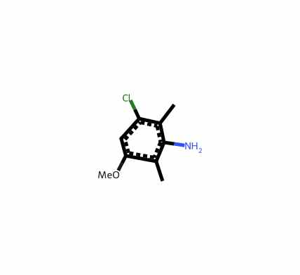 COc1cc(Cl)c(C)c(N)c1C